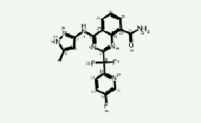 Cc1cc(Nc2nc(C(F)(F)c3ccc(F)cn3)nc3c(C(N)=O)cccc23)n[nH]1